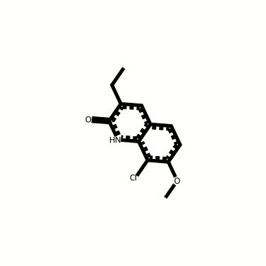 CCc1cc2ccc(OC)c(Cl)c2[nH]c1=O